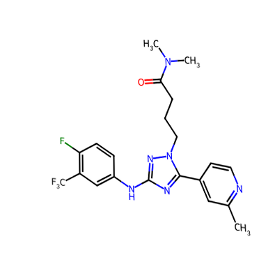 Cc1cc(-c2nc(Nc3ccc(F)c(C(F)(F)F)c3)nn2CCCC(=O)N(C)C)ccn1